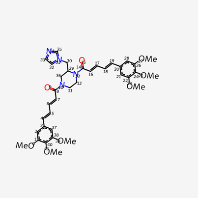 COc1cc(/C=C/C=C/C(=O)N2CCN(C(=O)/C=C/C=C/c3cc(OC)c(OC)c(OC)c3)C(Cn3ccnc3)C2)cc(OC)c1OC